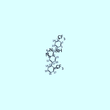 FC(F)(F)c1ccc(Nc2ncnc3cc(-c4ccccc4C(F)(F)F)ccc23)cc1